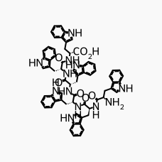 N[C@H](Cc1c[nH]c2ccccc12)C(=O)N[C@@H](Cc1c[nH]c2ccccc12)C(=O)N[C@H](Cc1c[nH]c2ccccc12)C(=O)N[C@@H](Cc1c[nH]c2ccccc12)C(=O)N[C@H](Cc1c[nH]c2ccccc12)C(=O)N[C@H](Cc1c[nH]c2ccccc12)C(=O)O